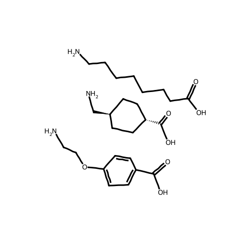 NCCCCCCCC(=O)O.NCCOc1ccc(C(=O)O)cc1.NC[C@H]1CC[C@H](C(=O)O)CC1